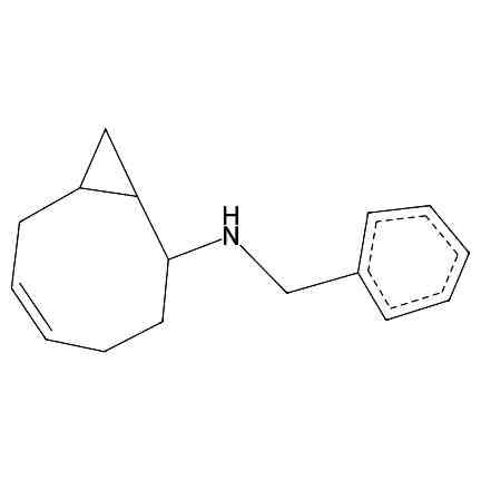 C1=C\CC2CC2C(NCc2ccccc2)CC/1